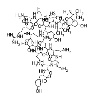 CC[C@H](C)[C@H](NC(=O)[C@@H]1C[C@@H](O)CN1C(=O)[C@@H](N)C(C)C)C(=O)N[C@H](C(=O)N[C@@H](Cc1ccc(O)cc1)C(=O)N[C@@H](CO)C(=O)N[C@@H](CC(N)=O)C(=O)N[C@@H](CCCNC(=N)N)C(=O)N[C@@H](CCN)C(=O)N[C@H](C(=O)N[C@H](CCN)C(=O)N[C@@H](CC(N)=O)C(=O)N[C@@H](CCN)C(=O)N[C@@H](CCN)C(=O)N[C@@H](CS)C(=O)N[C@@H](Cc1ccc(O)cc1)C(=O)O)[C@@H](C)O)C(C)(C)S